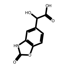 O=C(O)C(O)c1ccc2oc(=O)[nH]c2c1